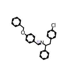 Clc1ccc(CC(/N=C/c2ccc(OCc3ccccc3)cc2)c2ccccc2)cc1